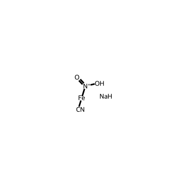 N#[C][Fe][N+](=O)O.[NaH]